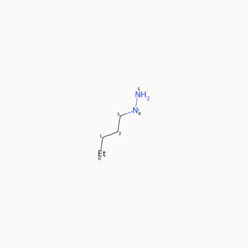 CCCCC[N]N